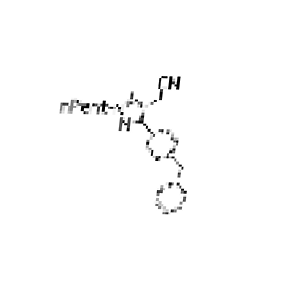 CCCCCn1nc(-c2ccc(Cc3ccccc3)cc2)c(CC#N)c1C